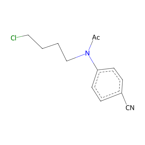 CC(=O)N(CCCCCl)c1ccc(C#N)cc1